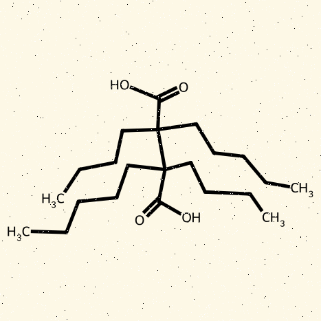 CCCCCC(CCCC)(C(=O)O)C(CCCC)(CCCCC)C(=O)O